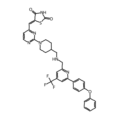 O=C1NC(=O)C(=Cc2ccnc(N3CCC(CNCc4cc(C(F)(F)F)cc(-c5ccc(Oc6ccccc6)cc5)n4)CC3)n2)S1